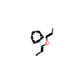 CC=COC=CC.c1ccccc1